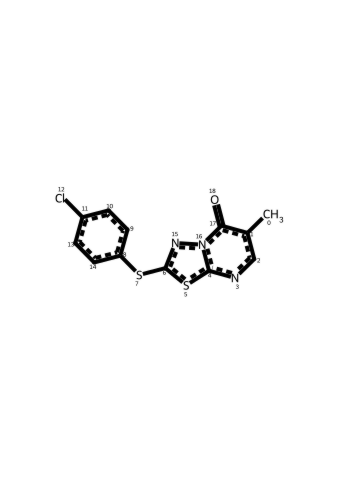 Cc1cnc2sc(Sc3ccc(Cl)cc3)nn2c1=O